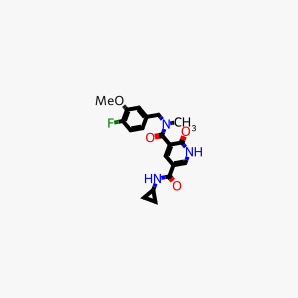 COc1cc(CN(C)C(=O)c2cc(C(=O)NC3CC3)c[nH]c2=O)ccc1F